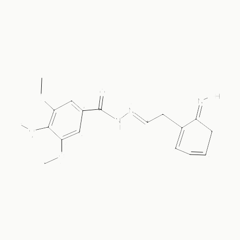 COc1cc(C(=O)NN=CCC2=CC=CCC2=NO)cc(OC)c1OC